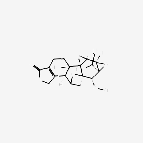 CO[C@@H]1[C@@]2(C(C)CO)O[C@H]2[C@@H]2O[C@@]23[C@@]2(C)CCC4=C(COC4=O)[C@@H]2C2C[C@@]13O2